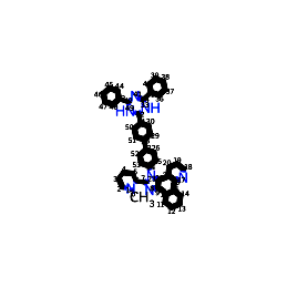 CN1C=CC=CC1c1nc2c3ccccc3c3ncccc3c2n1-c1ccc(-c2ccc(C3NC(c4ccccc4)=NC(c4ccccc4)N3)cc2)cc1